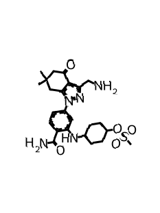 CC1(C)CC(=O)c2c(CN)nn(-c3ccc(C(N)=O)c(NC4CCC(OS(C)(=O)=O)CC4)c3)c2C1